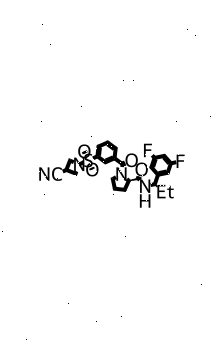 CC[C@H](NC(=O)[C@H]1CCCN1C(=O)c1cccc(S(=O)(=O)N2CC(C#N)C2)c1)c1cc(F)cc(F)c1